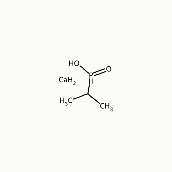 CC(C)[PH](=O)O.[CaH2]